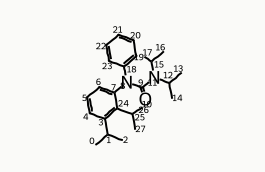 CC(C)c1cccc(N(C(=O)N(C(C)C)C(C)C)c2ccccc2)c1C(C)C